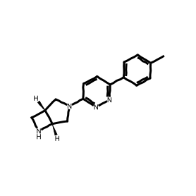 Cc1ccc(-c2ccc(N3C[C@H]4CN[C@H]4C3)nn2)cc1